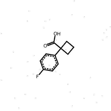 O=C(O)C1(c2ccc(F)cc2)CCC1